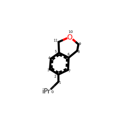 CC(C)Cc1ccc2c(c1)CCOC2